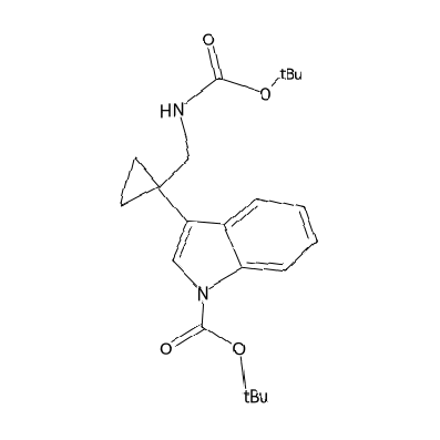 CC(C)(C)OC(=O)NCC1(c2cn(C(=O)OC(C)(C)C)c3ccccc23)CC1